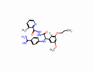 CCCOc1cc(OC)cc(C(Nc2ccc(C(=N)N)cc2)C(=O)NNC(=O)c2ncccc2C)c1F